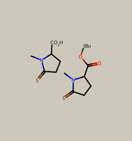 CN1C(=S)CCC1C(=O)O.CN1C(=S)CCC1C(=O)OC(C)(C)C